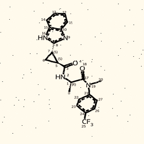 C[C@@H](NC(=O)[C@H]1C[C@@H]1c1nc2ccccc2[nH]1)C(=O)N(C)c1ccc(C(F)(F)F)cc1